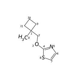 CC1(COc2nccs2)CCC1